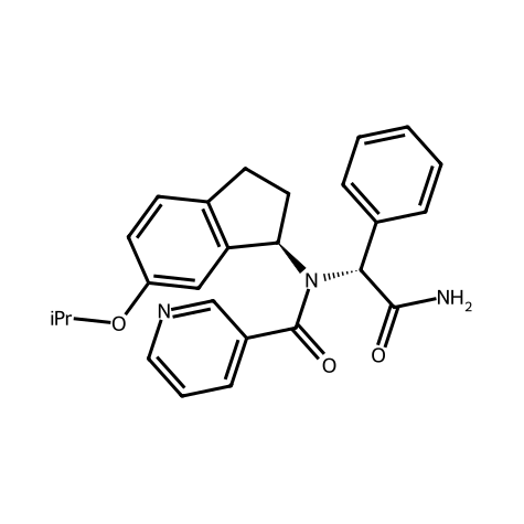 CC(C)Oc1ccc2c(c1)[C@H](N(C(=O)c1cccnc1)[C@@H](C(N)=O)c1ccccc1)CC2